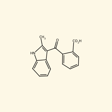 Cc1[nH]c2ccccc2c1C(=O)c1ccccc1C(=O)O